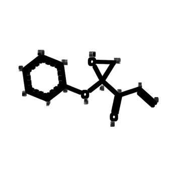 C=CC(=O)C1(Oc2ccccc2)CO1